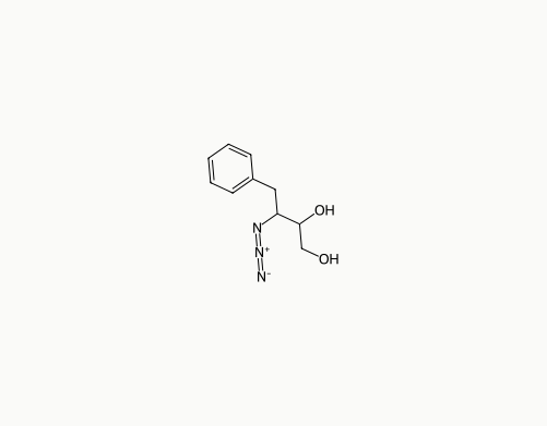 [N-]=[N+]=NC(Cc1ccccc1)C(O)CO